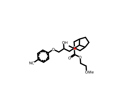 COCCOC(=O)N(C)C1C2CCC1CN(CC(O)COc1ccc(C#N)cc1)C2